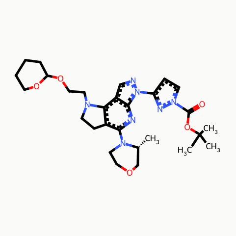 C[C@@H]1COCCN1c1nc2c(cnn2-c2ccn(C(=O)OC(C)(C)C)n2)c2c1CCN2CCOC1CCCCO1